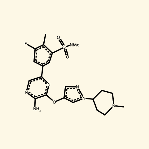 CNS(=O)(=O)c1cc(-c2cnc(N)c(Oc3cnn(C4CCN(C)CC4)c3)n2)cc(F)c1C